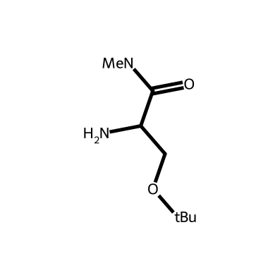 CNC(=O)C(N)COC(C)(C)C